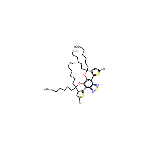 CCCCCCCCCCCCCCCC1(CCCCCCCCCCCCCCC)Oc2c3c(c4nsnc4c2-c2sc(Br)cc21)-c1sc(Br)cc1C(CCCCCCCCCCCCCCC)(CCCCCCCCCCCCCCC)O3